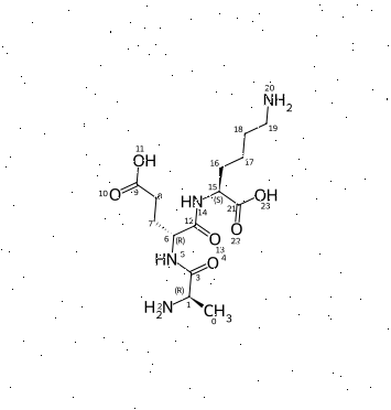 C[C@@H](N)C(=O)N[C@H](CCC(=O)O)C(=O)N[C@@H](CCCCN)C(=O)O